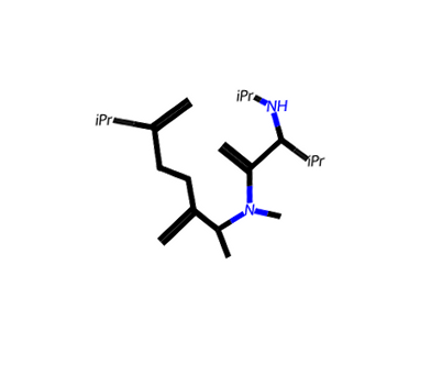 C=C(CCC(=C)C(C)N(C)C(=C)C(NC(C)C)C(C)C)C(C)C